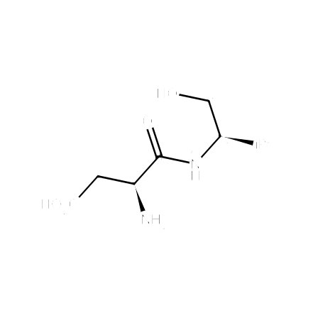 CC(C)[C@H](CO)NC(=O)[C@@H](N)CC(=O)O